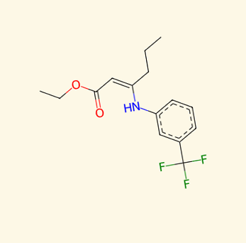 CCC/C(=C/C(=O)OCC)Nc1cccc(C(F)(F)F)c1